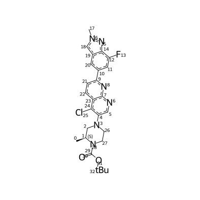 C[C@H]1CN(c2cnc3nc(-c4cc(F)c5nn(C)cc5c4)ccc3c2Cl)CCN1C(=O)OC(C)(C)C